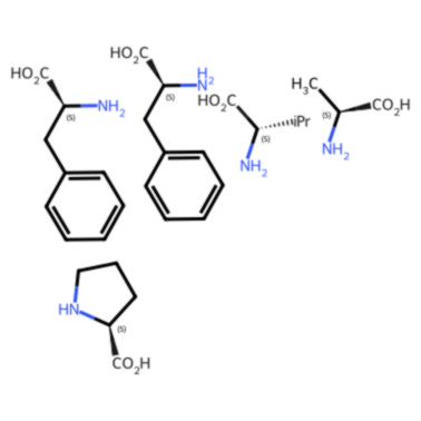 CC(C)[C@H](N)C(=O)O.C[C@H](N)C(=O)O.N[C@@H](Cc1ccccc1)C(=O)O.N[C@@H](Cc1ccccc1)C(=O)O.O=C(O)[C@@H]1CCCN1